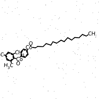 CCCCCCCCCCCCCCC[CH2][Co](=[O])[c]1cc[c]([Co](=[O])[c]2c(C)cc(C)cc2C)cc1